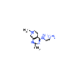 Cc1nc2c(c(N(N)/C=C\N)n1)CCN(C)C2